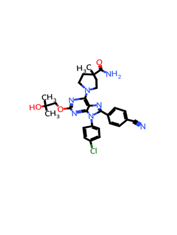 CC(C)(O)COc1nc(N2CCC(C)(C(N)=O)CC2)c2nc(-c3ccc(C#N)cc3)n(-c3ccc(Cl)cc3)c2n1